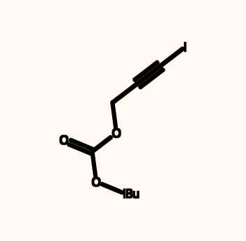 CCC(C)OC(=O)OCC#CI